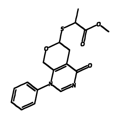 COC(=O)C(C)SC1Cc2c(n(-c3ccccc3)cnc2=O)CO1